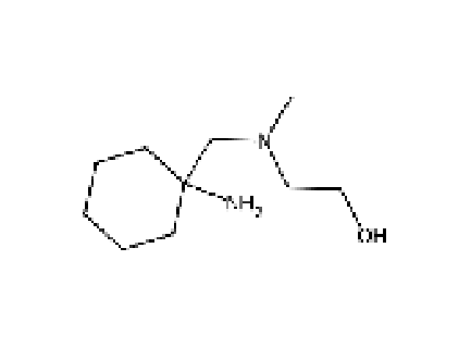 CN(CCO)CC1(N)CCCCC1